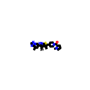 Cc1c(C2CCN(C(=O)[C@@H]3CCCN3C)CC2)sc2[nH]c(-c3cc(C)c4ncnn4c3)c(C(C)C)c12